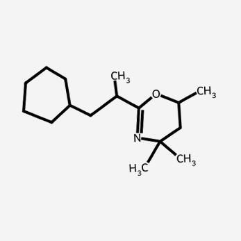 CC1CC(C)(C)N=C(C(C)CC2CCCCC2)O1